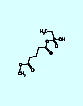 CCP(=O)(O)OC(=O)CCCC(=O)OC